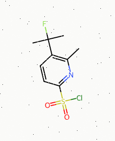 Cc1nc(S(=O)(=O)Cl)ccc1C(C)(C)F